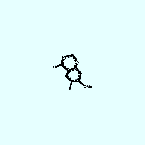 COc1cc2ncnc(Cl)c2cc1C